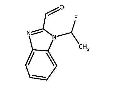 CC(F)n1c(C=O)nc2ccccc21